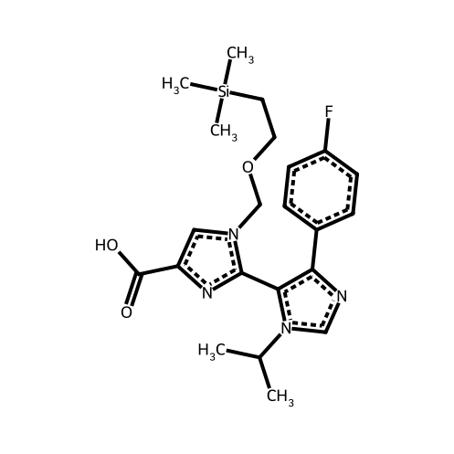 CC(C)n1cnc(-c2ccc(F)cc2)c1-c1nc(C(=O)O)cn1COCC[Si](C)(C)C